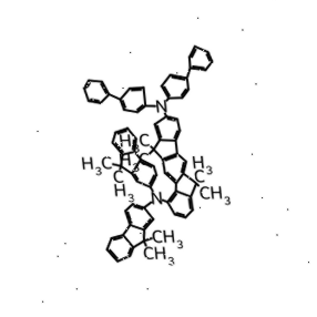 CC1(C)c2ccccc2-c2ccc(N(c3ccc4c(c3)C(C)(C)c3ccccc3-4)c3cccc4c3-c3cc5c(cc3C4(C)C)-c3ccc(N(c4ccc(-c6ccccc6)cc4)c4ccc(-c6ccccc6)cc4)cc3C5(C)C)cc21